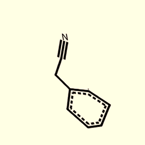 N#CCc1[c]cccc1